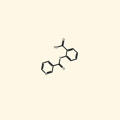 O=C(Sc1ccccc1C(=O)S)c1cccnc1